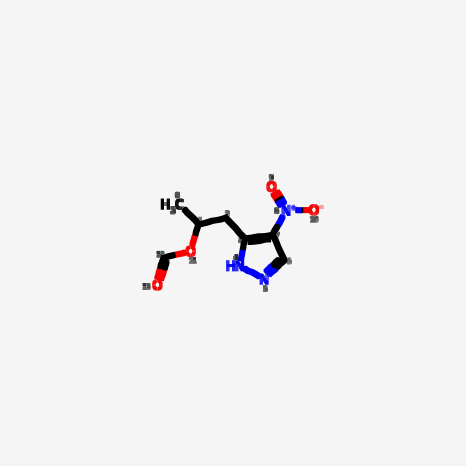 CC(Cc1[nH]ncc1[N+](=O)[O-])OC=O